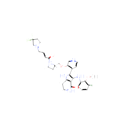 COc1c(Cl)cccc1Nc1c(-c2ccncc2OC[C@H]2CCN2C(=O)/C=C/CN2CCC(F)(F)C2)[nH]c2c1C(=O)NCC2